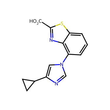 O=C(O)c1nc2c(-n3cnc(C4CC4)c3)cccc2s1